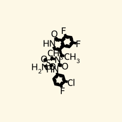 CC(c1c[nH]c(=O)c2c(F)cc(F)cc12)N(C(=O)Nc1ccc(F)c(Cl)c1)C(C)S(N)(=O)=O